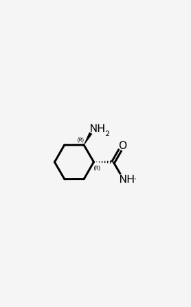 [NH]C(=O)[C@@H]1CCCC[C@H]1N